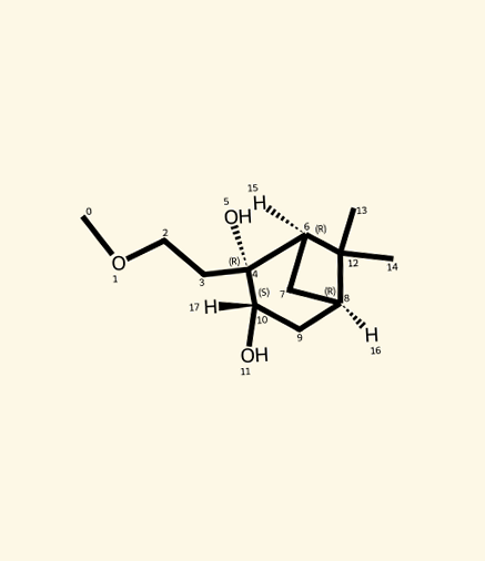 COCC[C@@]1(O)[C@@H]2C[C@H](C[C@@H]1O)C2(C)C